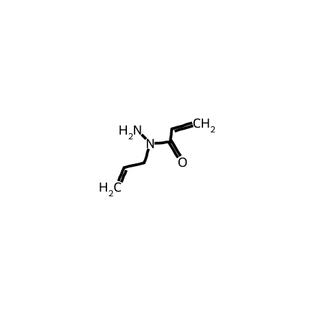 C=CCN(N)C(=O)C=C